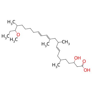 CCC(OC)C(C)CCCC/C=C/C=C(\C)CC(C)/C=C/CC(C)CCC(O)CC(=O)O